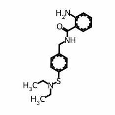 CCN(CC)Sc1ccc(CNC(=O)c2ccccc2N)cc1